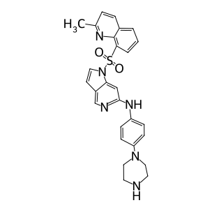 Cc1ccc2cccc(S(=O)(=O)n3ccc4cnc(Nc5ccc(N6CCNCC6)cc5)cc43)c2n1